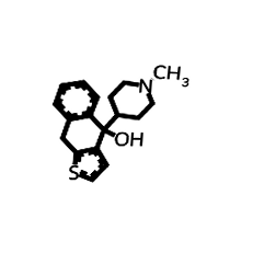 CN1CCC(C2(O)c3ccccc3Cc3sccc32)CC1